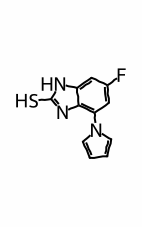 Fc1cc(-n2cccc2)c2nc(S)[nH]c2c1